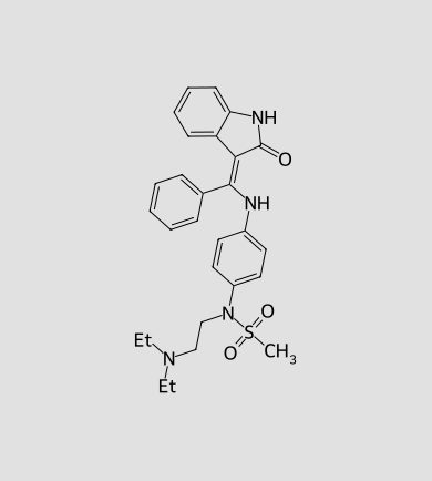 CCN(CC)CCN(c1ccc(N/C(=C2\C(=O)Nc3ccccc32)c2ccccc2)cc1)S(C)(=O)=O